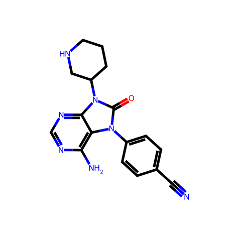 N#Cc1ccc(-n2c(=O)n(C3CCCNC3)c3ncnc(N)c32)cc1